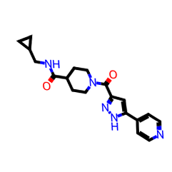 O=C(NCC1CC1)C1CCN(C(=O)c2cc(-c3ccncc3)[nH]n2)CC1